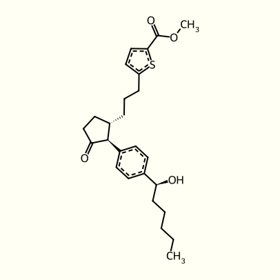 CCCCC[C@H](O)c1ccc([C@H]2C(=O)CC[C@@H]2CCCc2ccc(C(=O)OC)s2)cc1